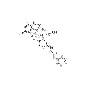 Cl.Cl.O=c1ccc2ncc(F)c3c2n1C[C@@]3(O)CN1CCC(NCC=Cc2ccccn2)CC1